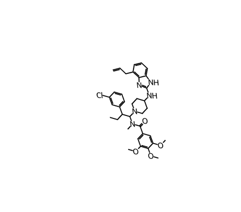 C=CCc1cccc2[nH]c(NC3CCN(C(C(CC)c4cccc(Cl)c4)N(C)C(=O)c4cc(OC)c(OC)c(OC)c4)CC3)nc12